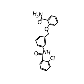 NC(=O)c1ccccc1OCc1cccc(NC(=O)c2ccccc2Cl)c1